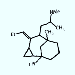 CC/C=C1\C2CC2C2(CCC)CCCC(C)(C2)C1CC(C)NC